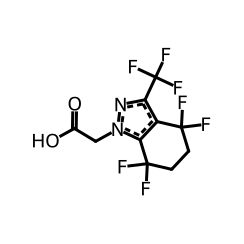 O=C(O)Cn1nc(C(F)(F)F)c2c1C(F)(F)CCC2(F)F